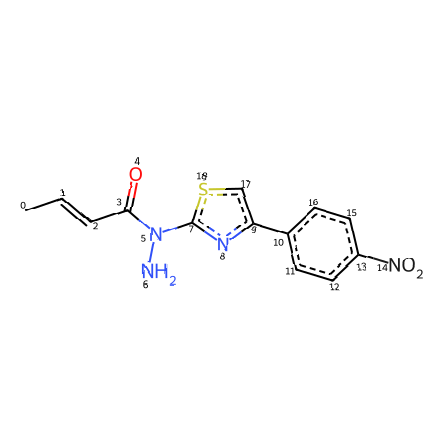 CC=CC(=O)N(N)c1nc(-c2ccc([N+](=O)[O-])cc2)cs1